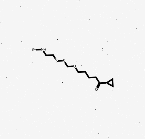 CC(C)NCCSSCOCCCCC(=O)C1CC1